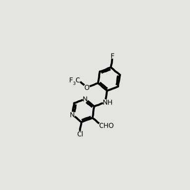 O=Cc1c(Cl)ncnc1Nc1ccc(F)cc1OC(F)(F)F